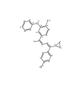 C/C(=C/C=C(\c1ccc(Cl)cc1)C1CC1)c1ccc(F)c(Oc2ccccc2)c1